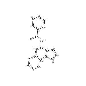 O=C(Nc1nc2ccccc2c2nccn12)c1cccnc1